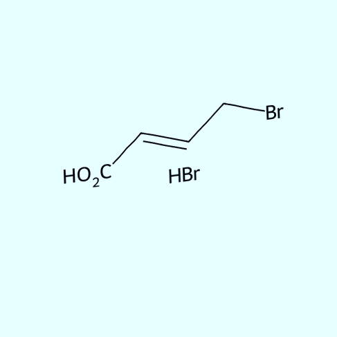 Br.O=C(O)C=CCBr